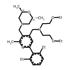 CCOCCN(CCOCC)Cc1cc(-c2c(CC)cccc2CC)nc(C)c1CN1C[C@@H](C)O[C@H](C)C1